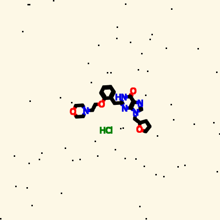 Cl.O=c1[nH]c(Cc2ccccc2OCCN2CCOCC2)nc2c1ncn2CC1CCCO1